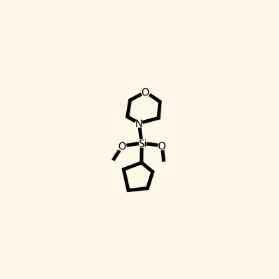 CO[Si](OC)(C1CCCC1)N1CCOCC1